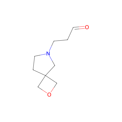 O=CCCN1CCC2(COC2)C1